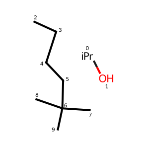 CC(C)O.CCCCC(C)(C)C